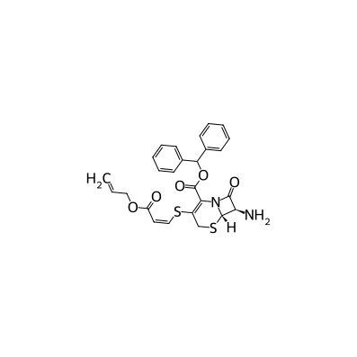 C=CCOC(=O)/C=C\SC1=C(C(=O)OC(c2ccccc2)c2ccccc2)N2C(=O)[C@@H](N)[C@@H]2SC1